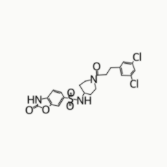 O=C(CCc1cc(Cl)cc(Cl)c1)N1CCC(NS(=O)(=O)c2ccc3[nH]c(=O)oc3c2)CC1